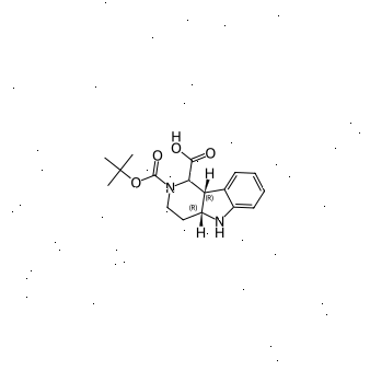 CC(C)(C)OC(=O)N1CC[C@H]2Nc3ccccc3[C@H]2C1C(=O)O